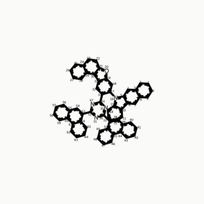 c1ccc2cc3c(cc2c1)c1ccccc1n3-c1cc2oc3ccc4ccccc4c3c2cc1-c1nc(-c2cc3ccccc3c3ccccc23)nc(-c2cc3ccccc3c3ccccc23)n1